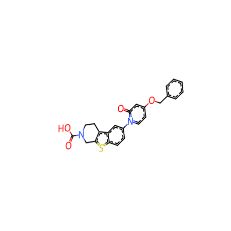 O=C(O)N1CCc2c(sc3ccc(-n4ccc(OCc5ccccc5)cc4=O)cc23)C1